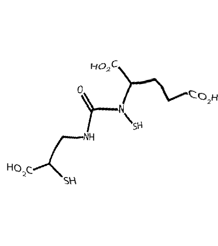 O=C(O)CCC(C(=O)O)N(S)C(=O)NCC(S)C(=O)O